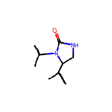 CC(C)C1CNC(=O)N1C(C)C